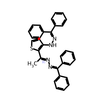 C/C(=N\N=C(c1ccccc1)c1ccccc1)c1sccc1NN=C(c1ccccc1)c1ccccc1